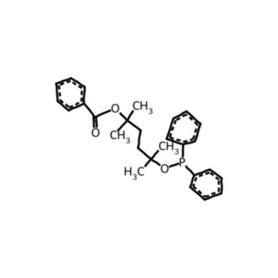 CC(C)(CCC(C)(C)OP(c1ccccc1)c1ccccc1)OC(=O)c1ccccc1